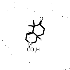 CC12CCC(=O)C(C)(C)C1=CCN(C(=O)O)C2